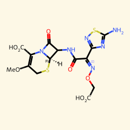 COC1=C(C(=O)O)N2C(=O)C(NC(=O)/C(=N\OCC(=O)O)c3nsc(N)n3)[C@H]2SC1